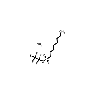 CCCCCCCCS(=O)(=O)OC(F)(F)C(F)(F)F.N